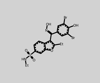 CCNS(=O)(=O)c1ccc2c(C(=NO)c3cc(Br)c(O)c(Br)c3)c(CC)oc2c1